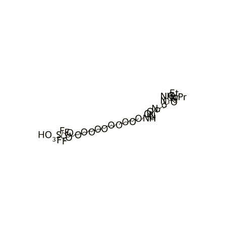 CCCN(OCC)C(=O)C1=Cc2ccc(-c3ccc(C(=O)N4CCC[C@H]4C(=O)NCCOCCOCCOCCOCCOCCOCCOCCOCCOCCOCCC(=O)OC4C(F)C(F)C(S(=O)(=O)O)C(F)C4F)nc3)cc2N=C(N)C1